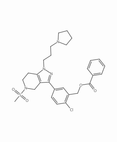 CS(=O)(=O)N1CCc2c(c(-c3ccc(Cl)c(COC(=O)c4ccccc4)c3)nn2CCCN2CCCC2)C1